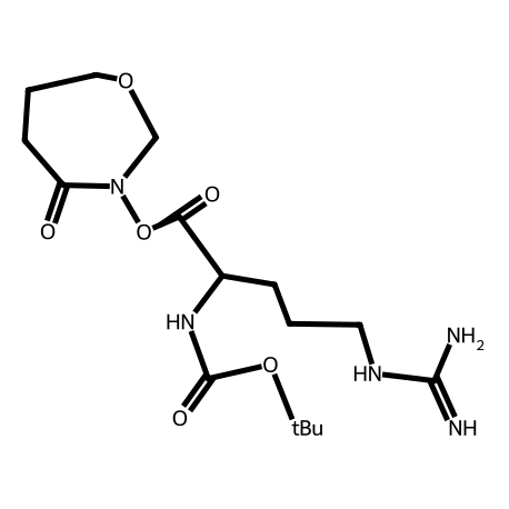 CC(C)(C)OC(=O)NC(CCCNC(=N)N)C(=O)ON1COCCCC1=O